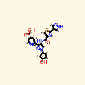 O=C(Nc1cn([C@H]2CC[C@H](O)C2)nc1-c1ccccn1)c1csc(-c2cn[nH]c2)n1.O=CO